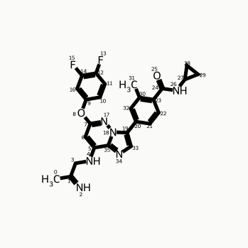 CC(=N)CNc1cc(Oc2ccc(F)c(F)c2)nn2c(-c3ccc(C(=O)NC4CC4)c(C)c3)cnc12